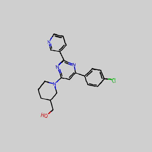 OCC1CCCN(c2cc(-c3ccc(Cl)cc3)nc(-c3cccnc3)n2)C1